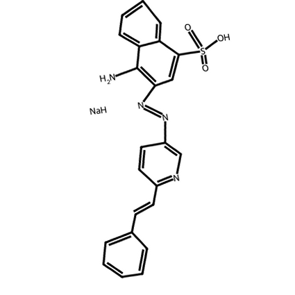 Nc1c(N=Nc2ccc(C=Cc3ccccc3)nc2)cc(S(=O)(=O)O)c2ccccc12.[NaH]